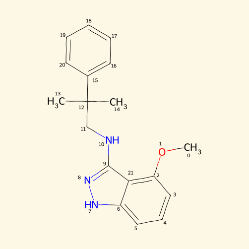 COc1cccc2[nH]nc(NCC(C)(C)c3ccccc3)c12